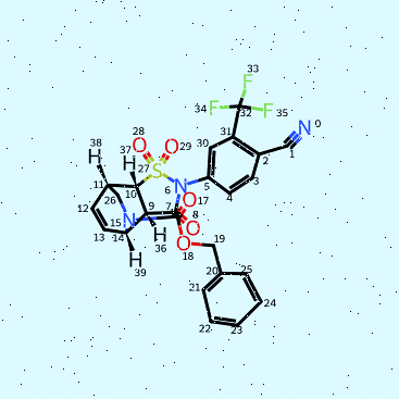 N#Cc1ccc(N2C(=O)[C@H]3[C@H]([C@H]4C=C[C@@H]3N(C(=O)OCc3ccccc3)C4)S2(=O)=O)cc1C(F)(F)F